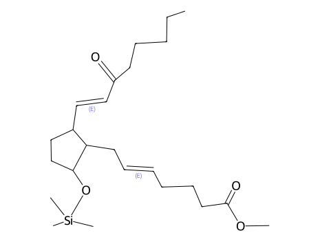 CCCCCC(=O)/C=C/C1CCC(O[Si](C)(C)C)C1C/C=C/CCCC(=O)OC